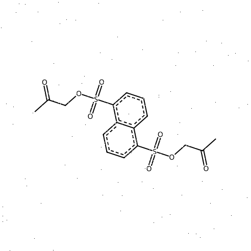 CC(=O)COS(=O)(=O)c1cccc2c(S(=O)(=O)OCC(C)=O)cccc12